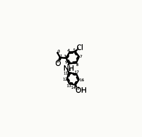 CC(=O)c1cc(Cl)ccc1Nc1ccc(O)cc1